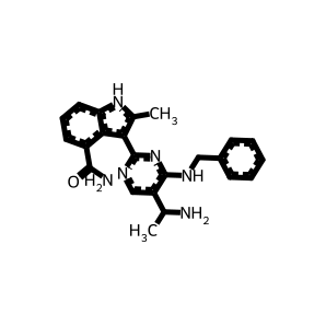 Cc1[nH]c2cccc(C(N)=O)c2c1-c1ncc(C(C)N)c(NCc2ccccc2)n1